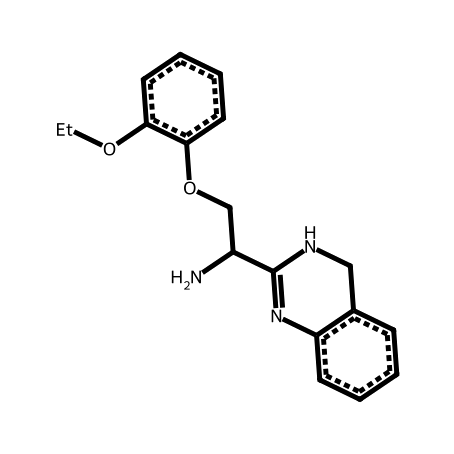 CCOc1ccccc1OCC(N)C1=Nc2ccccc2CN1